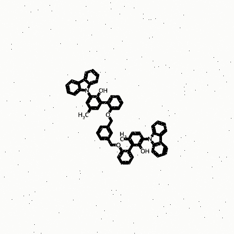 Cc1cc(-c2ccccc2OCc2cccc(COc3ccccc3-c3c(C)ccc(-n4c5ccc#cc5c5ccccc54)c3O)c2)c(O)c(-n2c3ccccc3c3ccccc32)c1